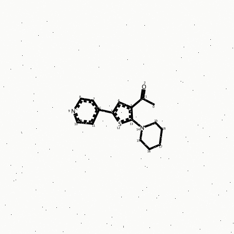 CC(=O)c1cc(-c2ccncc2)sc1N1CCCCC1